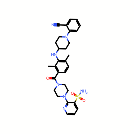 Cc1ccc(C(=O)N2CCN(c3ncccc3S(N)(=O)=O)CC2)c(C)c1NC1CCN(c2ccccc2C#N)CC1